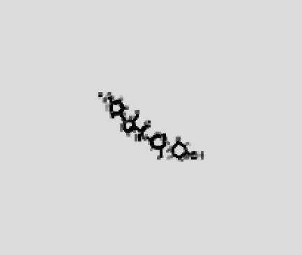 Cc1cc(NC(=O)c2cnn(-c3ccc(C(F)(F)F)cn3)c2C)cnc1[C@H]1CC[C@H](O)CC1